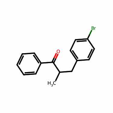 CC(Cc1ccc(Br)cc1)C(=O)c1ccccc1